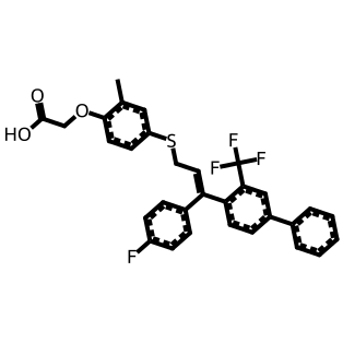 Cc1cc(SC/C=C(\c2ccc(F)cc2)c2ccc(-c3ccccc3)cc2C(F)(F)F)ccc1OCC(=O)O